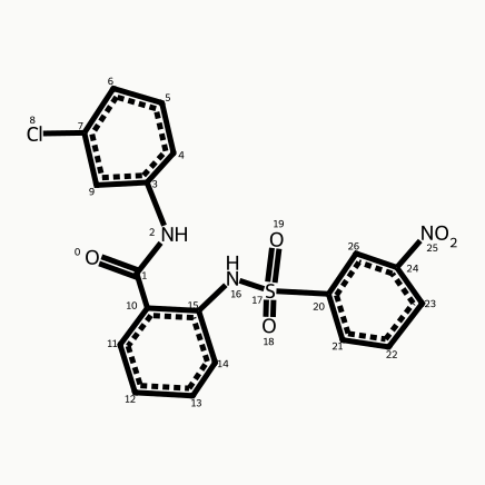 O=C(Nc1cccc(Cl)c1)c1ccccc1NS(=O)(=O)c1cccc([N+](=O)[O-])c1